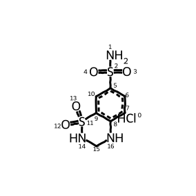 Cl.NS(=O)(=O)c1ccc2c(c1)S(=O)(=O)NCN2